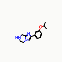 CC(C)Oc1cccc(-c2cn3c(n2)CNCC3)c1